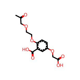 CC(=O)COCCOc1ccc(OCC(=O)O)cc1C(=O)O